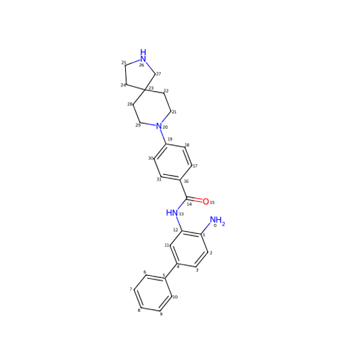 Nc1ccc(-c2ccccc2)cc1NC(=O)c1ccc(N2CCC3(CCNC3)CC2)cc1